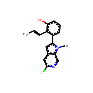 CC=Cc1c(O)cccc1-c1cc2cc(Cl)ncc2n1C